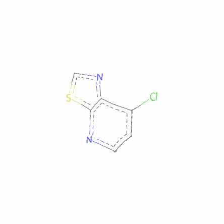 Clc1ccnc2scnc12